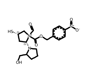 O=C[N+]1(C(=O)OCc2ccc([N+](=O)[O-])cc2)C[C@@H](S)C[C@H]1N1CCCC1CO